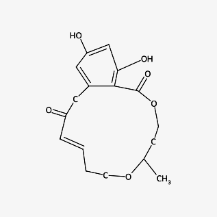 CC1CCOC(=O)c2c(O)cc(O)cc2CC(=O)/C=C/CCO1